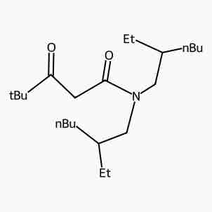 CCCCC(CC)CN(CC(CC)CCCC)C(=O)CC(=O)C(C)(C)C